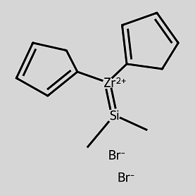 C[Si](C)=[Zr+2]([C]1=CC=CC1)[C]1=CC=CC1.[Br-].[Br-]